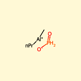 CC[CH2][Al+][CH3].O=[PH2][O-]